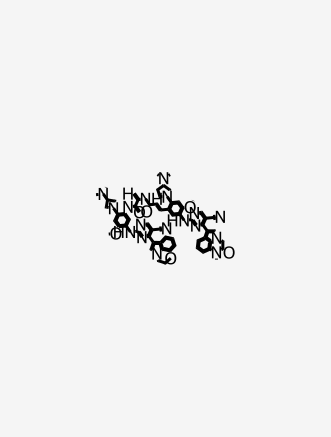 C=C(NC(=O)C=Cc1cc(Nc2ncc(C#N)c(-c3cn4c5c(cccc35)N(C)C(=O)C4)n2)c(OC)cc1N1CCC(N(C)C)C1)C(=O)Nc1cc(Nc2ncc(C#N)c(-c3cn4c5c(cccc35)OCC4)n2)c(OC)cc1N1CC(N(C)C)C1